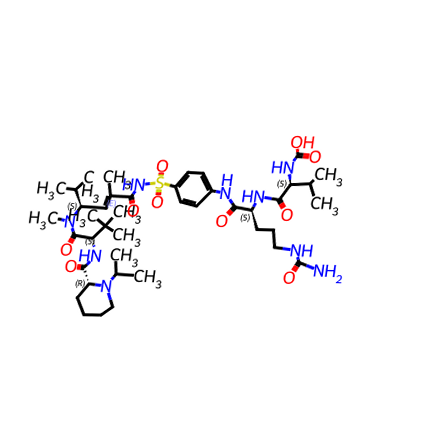 C/C(=C\[C@H](C(C)C)N(C)C(=O)[C@@H](NC(=O)[C@H]1CCCCN1C(C)C)C(C)(C)C)C(=O)NS(=O)(=O)c1ccc(NC(=O)[C@H](CCCNC(N)=O)NC(=O)[C@@H](NC(=O)O)C(C)C)cc1